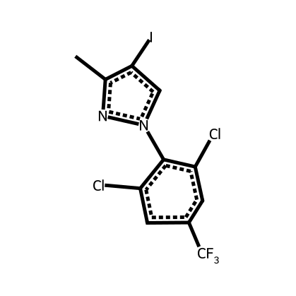 Cc1nn(-c2c(Cl)cc(C(F)(F)F)cc2Cl)cc1I